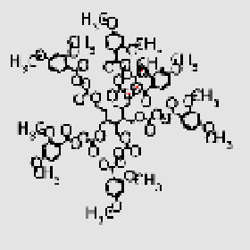 COc1ccc(C(=O)OOC(=O)OCCC(COC(=O)OOC(=O)c2ccc(OC)cc2OC)C(COC(=O)OOC(=O)c2ccc(OC)cc2OC)C(COC(=O)OOC(=O)c2ccc(OC)cc2OC)C(CCOC(=O)OOC(=O)c2ccc(OC)cc2OC)COC(=O)OOC(=O)c2ccc(OC)cc2OC)c(OC)c1